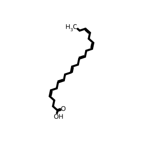 CC/C=C\C/C=C\C/C=C/C/C=C/C/C=C/C/C=C\CCC(=O)O